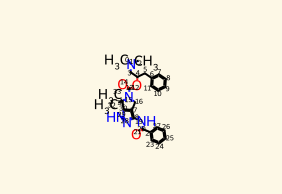 CN(C)CC(Cc1ccccc1)OC(=O)N1Cc2c(NC(=O)c3ccccc3)n[nH]c2C1(C)C